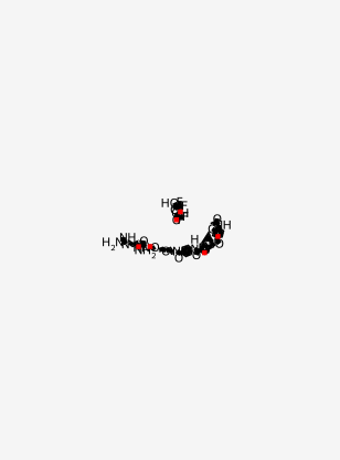 NC(N)=NCCCC(N)C(=O)NCCOCCOCCNC(=O)c1ccc(NC(=O)c2ccc(CN(C(=O)c3ccc4c(c3)OCC(=O)N4)C3CC3)cc2)cc1.O=C(O)C(F)(F)F.O=C(O)C(F)(F)F